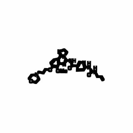 C=CCNC(=O)Nc1ccc(C(=O)NC2=Nc3c(ccc(OCCCN4CCOCC4)c3OC)C3=NCCN23)cn1